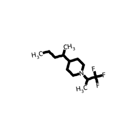 CCCC(C)C1CCN(C(C)C(F)(F)F)CC1